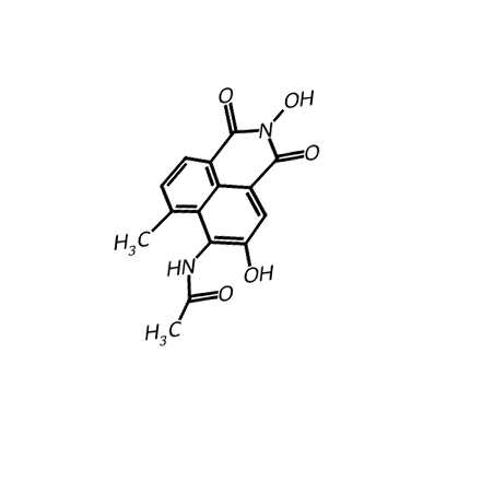 CC(=O)Nc1c(O)cc2c3c(ccc(C)c13)C(=O)N(O)C2=O